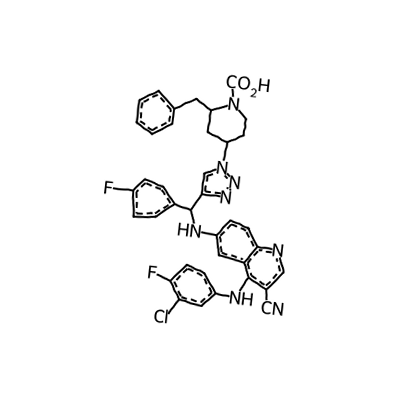 N#Cc1cnc2ccc(NC(c3ccc(F)cc3)c3cn(C4CCN(C(=O)O)C(Cc5ccccc5)C4)nn3)cc2c1Nc1ccc(F)c(Cl)c1